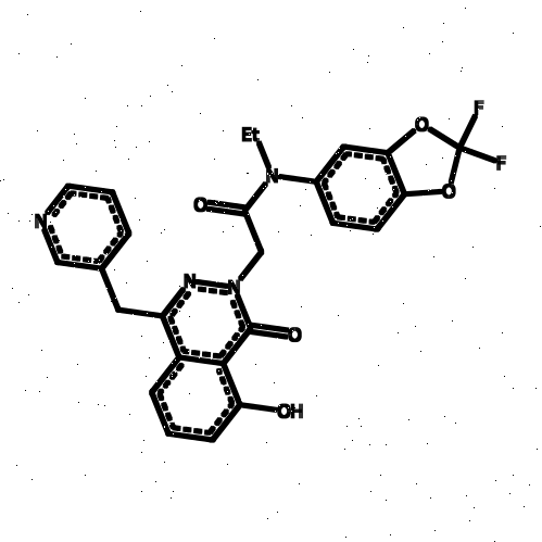 CCN(C(=O)Cn1nc(Cc2cccnc2)c2cccc(O)c2c1=O)c1ccc2c(c1)OC(F)(F)O2